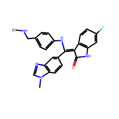 CCNCc1ccc(NC(=C2C(=O)Nc3cc(F)ccc32)c2ccc3c(c2)ncn3C)cc1